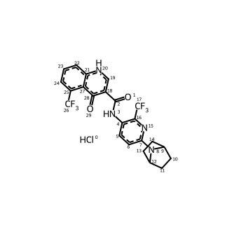 Cl.O=C(Nc1ccc(N2C3CCC2CC3)nc1C(F)(F)F)c1c[nH]c2cccc(C(F)(F)F)c2c1=O